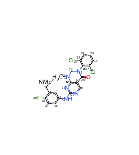 CNCc1cc(Nc2ncc3c(n2)N(C)CN(c2c(Cl)cccc2Cl)C3=O)ccc1F